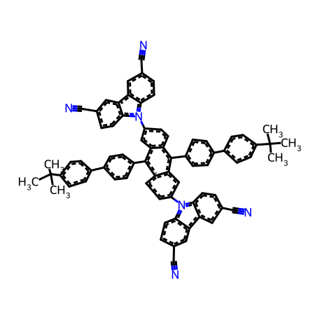 CC(C)(C)c1ccc(-c2ccc(-c3c4ccc(-n5c6ccc(C#N)cc6c6cc(C#N)ccc65)cc4c(-c4ccc(-c5ccc(C(C)(C)C)cc5)cc4)c4ccc(-n5c6ccc(C#N)cc6c6cc(C#N)ccc65)cc34)cc2)cc1